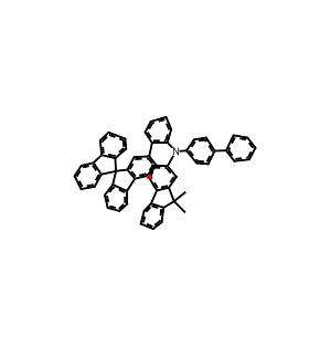 CC1(C)c2ccccc2-c2ccc(N(c3ccc(-c4ccccc4)cc3)c3ccccc3-c3ccc4c(c3)C3(c5ccccc5-c5ccccc53)c3ccccc3-4)cc21